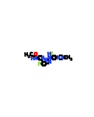 C=CC(=O)Nc1ccnc(-c2c(F)ccc3cnc(Nc4ccc(N5CCN(C)CC5)cc4F)nc23)c1